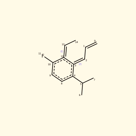 C=C/C=c1/c(C(C)C)ccc(F)/c1=C/C